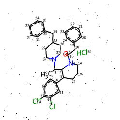 CC(C1C(c2ccc(Cl)c(Cl)c2)CCCN1C(=O)Cc1ccccc1)N1CCC(Cc2ccccc2)CC1.Cl